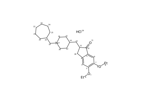 CCOc1cc2c(cc1OCC)C(=O)C(CC1CCN(CC3CCCCCC3)CC1)C2.Cl